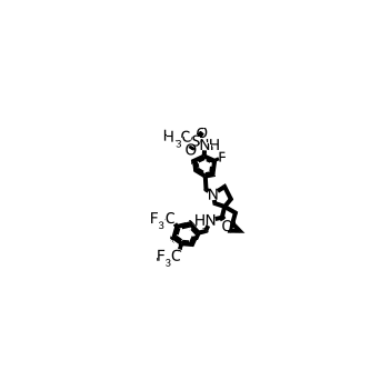 CS(=O)(=O)Nc1ccc(CN2CCC(CC3CC3)(C(=O)NCc3cc(C(F)(F)F)cc(C(F)(F)F)c3)C2)cc1F